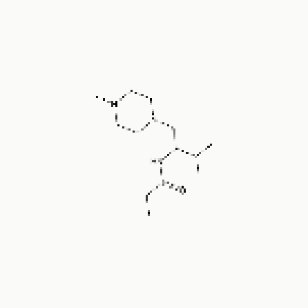 CCC(=O)N[C@H](CN1CCN(C)CC1)C(C)C